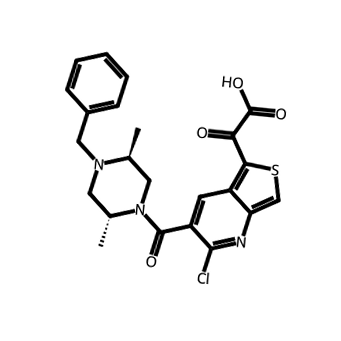 C[C@@H]1CN(Cc2ccccc2)[C@@H](C)CN1C(=O)c1cc2c(C(=O)C(=O)O)scc2nc1Cl